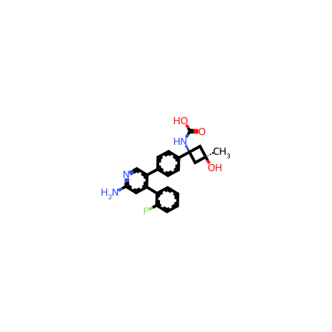 C[C@]1(O)C[C@](NC(=O)O)(c2ccc(-c3cnc(N)cc3-c3ccccc3F)cc2)C1